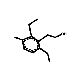 CCc1ccc(C)c(CC)c1CCO